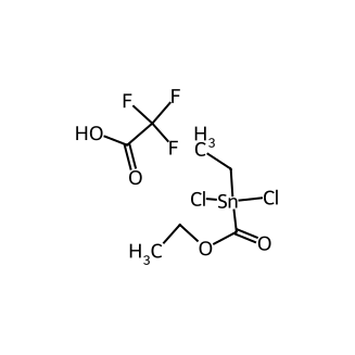 CCO[C](=O)[Sn]([Cl])([Cl])[CH2]C.O=C(O)C(F)(F)F